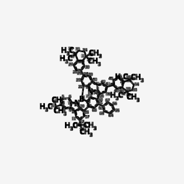 CC(C)(C)c1ccc2c(c1)c1cc(C(C)(C)C)cc3c1n2B1c2cc(-c4ccc5c(c4)C(C)(C)CCC5(C)C)cc4c5cc(-c6ccc7c(c6)C(C)(C)CCC7(C)C)cc6c7c(-c8ccccc8)cc-3c1c7n(c24)c56